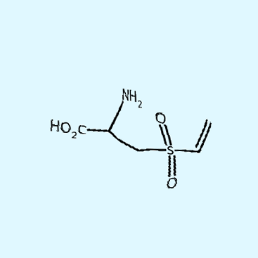 C=CS(=O)(=O)CC(N)C(=O)O